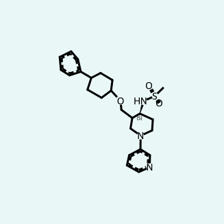 CS(=O)(=O)N[C@H]1CCN(c2cccnc2)CC1COC1CCC(c2ccccc2)CC1